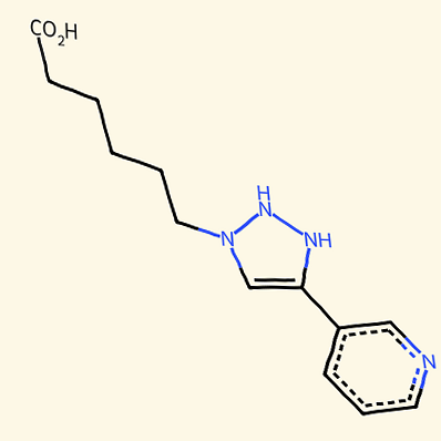 O=C(O)CCCCCN1C=C(c2cccnc2)NN1